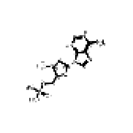 CC(C)P(=O)(O)OCC1O[C@@H](n2cnc3c(N)ncnc32)C[C@@H]1C